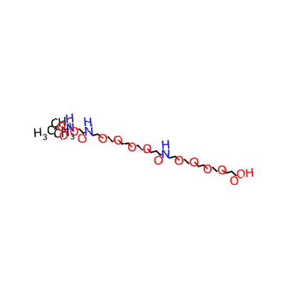 CC(C)(C)OC(=O)NOCC(=O)NCCOCCOCCOCCOCCC(=O)NCCOCCOCCOCCOCCC(=O)O